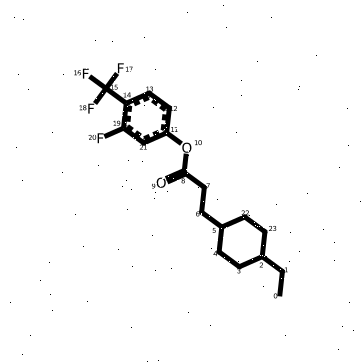 CCC1CCC(CCC(=O)Oc2ccc(C(F)(F)F)c(F)c2)CC1